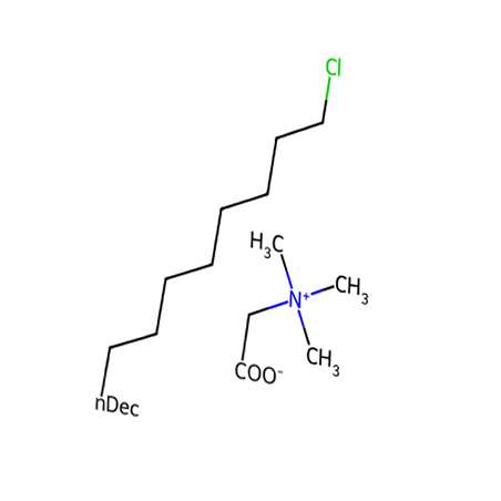 CCCCCCCCCCCCCCCCCCCl.C[N+](C)(C)CC(=O)[O-]